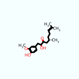 COc1cc(CC(O)C(=O)C[C@@H](C)CCC=C(C)C)ccc1O